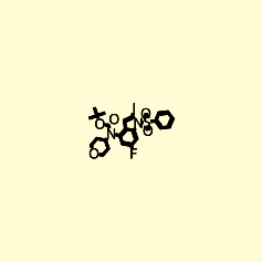 CC(C)(C)OC(=O)N(c1cc(F)cc2c1cc(I)n2S(=O)(=O)c1ccccc1)C1CCOCC1